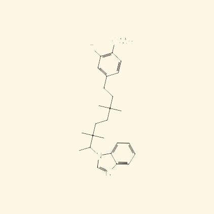 COc1ccc(CCC(C)(C)CCC(C)(C)C(C)n2cnc3ccccc32)cc1F